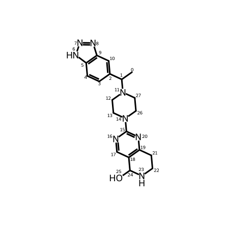 CC(c1ccc2[nH]nnc2c1)N1CCN(c2ncc3c(n2)CCNC3O)CC1